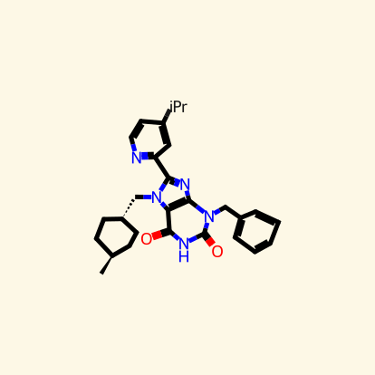 CC(C)c1ccnc(-c2nc3c(c(=O)[nH]c(=O)n3Cc3ccccc3)n2C[C@H]2CC[C@H](C)CC2)c1